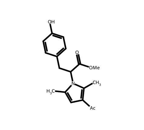 COC(=O)C(Cc1ccc(O)cc1)n1c(C)cc(C(C)=O)c1C